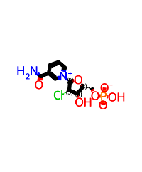 NC(=O)c1ccc[n+]([C@@H]2O[C@H](COP(=O)([O-])O)[C@@H](O)[C@@H]2Cl)c1